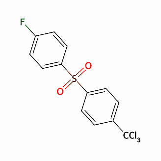 O=S(=O)(c1ccc(F)cc1)c1ccc(C(Cl)(Cl)Cl)cc1